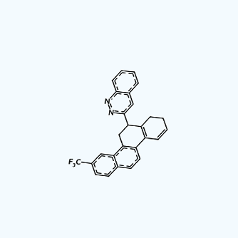 FC(F)(F)c1ccc2ccc3c(c2c1)CC(c1cc2ccccc2nn1)C1=C3C=CCC1